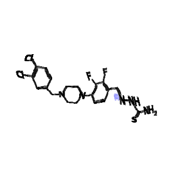 NC(=S)N/N=C/c1ccc(N2CCN(Cc3ccc(Cl)c(Cl)c3)CC2)c(F)c1F